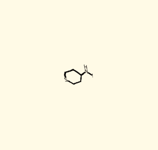 INC1CCSCC1